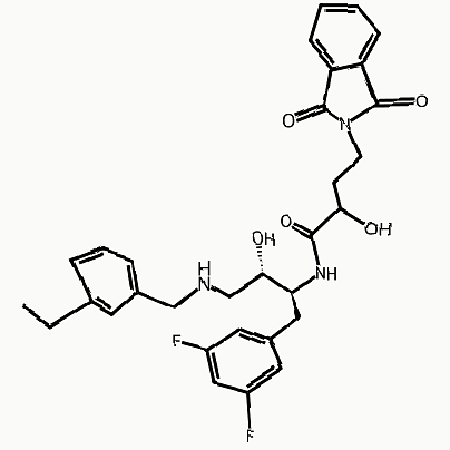 CCc1cccc(CNC[C@H](O)[C@H](Cc2cc(F)cc(F)c2)NC(=O)C(O)CCN2C(=O)c3ccccc3C2=O)c1